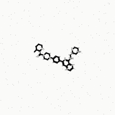 CC1CCCO[C@H]1C(=O)N1CCN(c2ccc(-c3cc4nccnc4c(NC[C@@H]4CNCCO4)n3)cc2)CC1